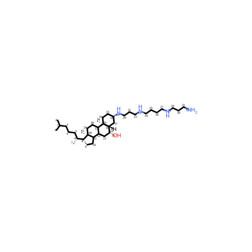 CC(C)CCC[C@@H](C)[C@H]1CCC2C3C[C@@H](O)[C@H]4C[C@H](NCCCNCCCCNCCCN)CC[C@]4(C)C3CC[C@@]21C